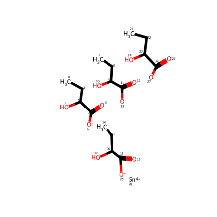 CCC(O)C(=O)[O-].CCC(O)C(=O)[O-].CCC(O)C(=O)[O-].CCC(O)C(=O)[O-].[Sn+4]